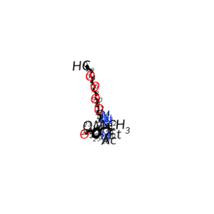 C#CCOCCOCCOCCOCc1cn([C@@H]2c3cc(C(=O)OC)ccc3N(C(C)=O)[C@@H](CC)[C@H]2C)nn1